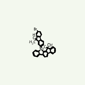 CC1(C)c2cc(Br)ccc2-c2ccc(-n3c4ccccc4c4ccc5c(c43)C(C)(C)c3ccccc3-5)cc21